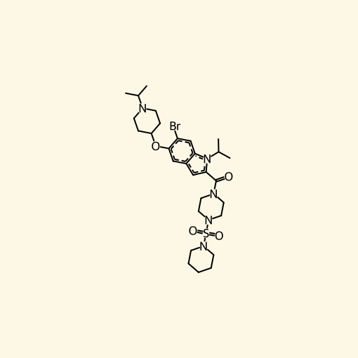 CC(C)N1CCC(Oc2cc3cc(C(=O)N4CCN(S(=O)(=O)N5CCCCC5)CC4)n(C(C)C)c3cc2Br)CC1